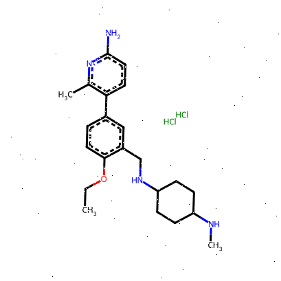 CCOc1ccc(-c2ccc(N)nc2C)cc1CNC1CCC(NC)CC1.Cl.Cl